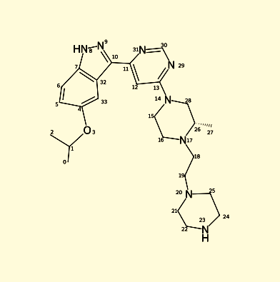 CC(C)Oc1ccc2[nH]nc(-c3cc(N4CCN(CCN5CCNCC5)[C@@H](C)C4)ncn3)c2c1